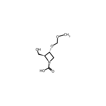 COCO[C@@H]1CN(C(=O)O)[C@H]1CO